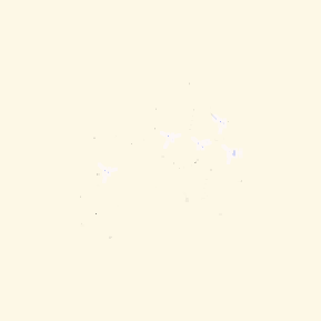 CC(Nc1ncc(C(F)F)c(N2CC([C@H]3CCCN(C4CC(C)(C(=O)O)C4)C3)C2)n1)c1ccc(Cl)cc1Cl